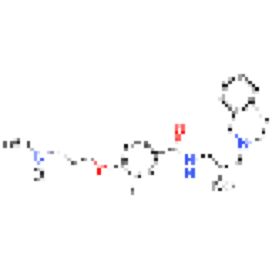 CCCCN(CC)CCCOc1ccc(C(=O)NCC(CN2CCc3ccccc3C2)N=O)cc1C